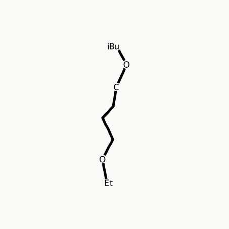 CCOCCCCOC(C)CC